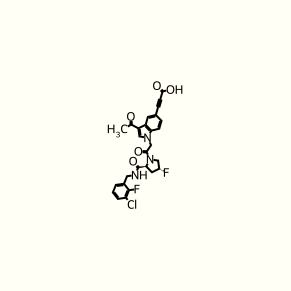 CC(=O)c1cn(CC(=O)N2C[C@H](F)C[C@H]2C(=O)NCc2cccc(Cl)c2F)c2ccc(C#CC(=O)O)cc12